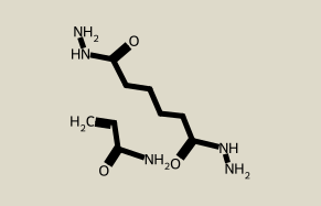 C=CC(N)=O.NNC(=O)CCCCC(=O)NN